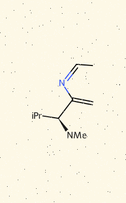 C=C(/N=C\C)[C@@H](NC)C(C)C